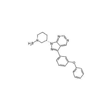 BN1CCC[C@H](n2nc(-c3cccc(Oc4ccccc4)c3)c3cncnc32)C1